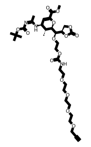 C#CCOCCOCCOCCOCCNC(=O)OCCO[C@@H]([C@@H]1OC(C(=O)OC)=C[C@H](N/C(C)=N\C(=O)OC(C)(C)C)[C@H]1C)[C@H]1COC(=O)O1